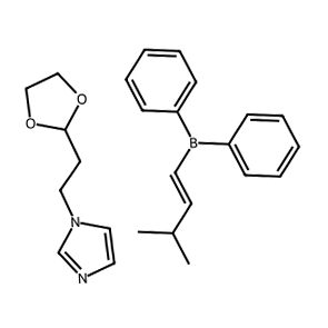 CC(C)C=CB(c1ccccc1)c1ccccc1.c1cn(CCC2OCCO2)cn1